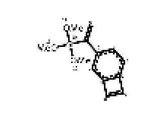 C=C(c1ccc2c(c1)C=C2)[Si](OC)(OC)OC